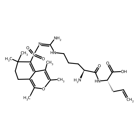 C=CC[C@H](NC(=O)[C@@H](N)CCCNC(N)=NS(=O)(=O)C1=C2C(C)=C(C)OC(C)=C2CCC1(C)C)C(=O)O